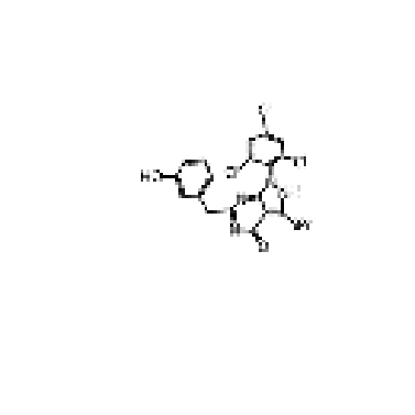 CC(C)c1[nH]n(-c2c(Cl)cc(Cl)cc2Cl)c2nc(Cc3cccc(O)c3)nc(=O)c1-2